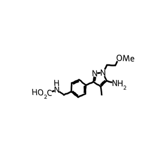 COCCn1nc(-c2ccc(CNC(=O)O)cc2)c(C)c1N